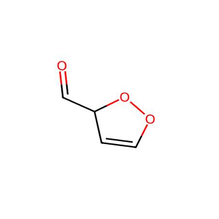 O=CC1C=COO1